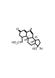 CC(=O)[C@@]1(O)CC[C@H]2[C@@H]3C=C(C)C4=CC(=O)CC(CC(=O)O)[C@]4(C)[C@H]3CC[C@@]21C